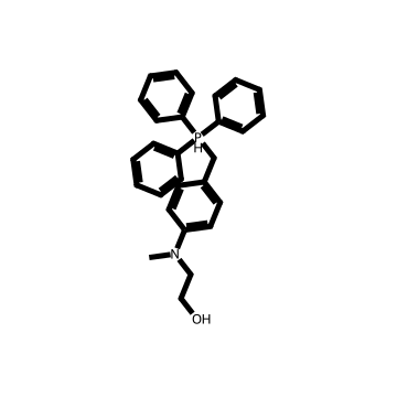 CN(CCO)c1ccc(C[PH](c2ccccc2)(c2ccccc2)c2ccccc2)cc1